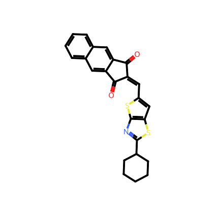 O=C1C(=Cc2cc3sc(C4CCCCC4)nc3s2)C(=O)c2cc3ccccc3cc21